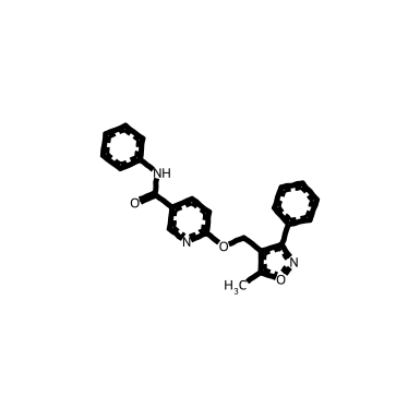 Cc1onc(-c2ccccc2)c1COc1ccc(C(=O)Nc2ccccc2)cn1